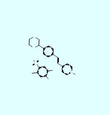 C[n+]1ccc(C=Cc2ccc(C3CNCCO3)cc2)cc1.O=S(=O)(O)c1cc(Cl)c(Cl)cc1Cl